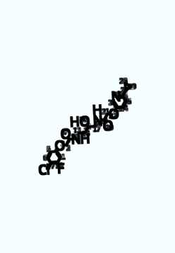 O=C(COc1ccc(Cl)c(F)c1)NCCC(O)CNC(=O)COc1ccc(C2CC2)nc1